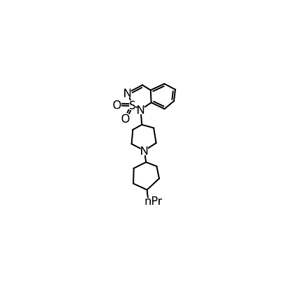 CCCC1CCC(N2CCC(N3c4ccccc4C=NS3(=O)=O)CC2)CC1